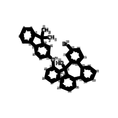 CC1(C)c2ccccc2-c2ccc(Oc3ccccc3C3(O)c4ccccc4-c4ccccc4-c4ccc(Br)cc43)cc21